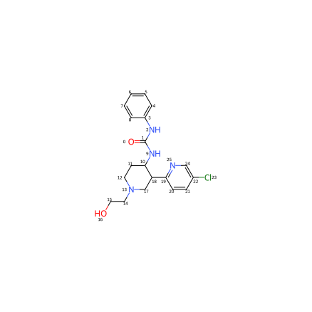 O=C(Nc1ccccc1)NC1CCN(CCO)CC1c1ccc(Cl)cn1